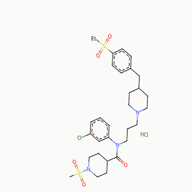 CCS(=O)(=O)c1ccc(CC2CCN(CCCN(C(=O)C3CCN(S(C)(=O)=O)CC3)c3cccc(Cl)c3)CC2)cc1.Cl